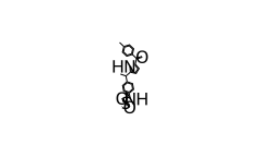 Cc1ccc(C(=O)c2ccc(C(C)c3ccc(NS(C)(=O)=O)cc3)[nH]2)cc1